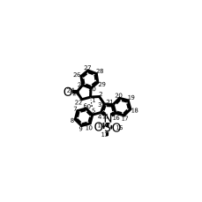 C[C@]1(Cc2c(-c3ccccc3)n(S(C)(=O)=O)c3ccccc23)CC(=O)c2ccccc21